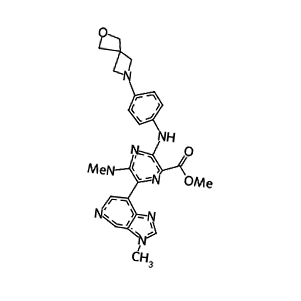 CNc1nc(Nc2ccc(N3CC4(COC4)C3)cc2)c(C(=O)OC)nc1-c1cncc2c1ncn2C